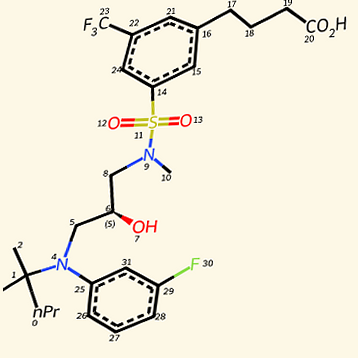 CCCC(C)(C)N(C[C@H](O)CN(C)S(=O)(=O)c1cc(CCCC(=O)O)cc(C(F)(F)F)c1)c1cccc(F)c1